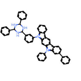 c1ccc(-c2ccc3c4cc5c6ccccc6n(-c6cccc(C7NC(c8ccccc8)NC(c8ccccc8)N7)c6)c5cc4n(-c4ccccc4)c3c2)cc1